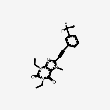 CCn1c(=O)c2c(nc(C#Cc3cccc(C(F)(F)F)c3)n2C)n(CC)c1=O